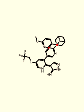 COc1ccc(CN2C3CC2CN(c2ccc(C4=CC(OCC(F)(F)F)=CN/C4=C4/C=NNC4=N)cn2)C3)cn1